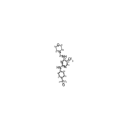 CP(C)(=O)c1ccc(Nc2ncc(C(F)(F)F)c(NCN3CCOCC3)n2)cc1